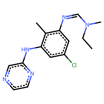 CCN(C)/C=N\c1cc(Cl)cc(Nc2cnccn2)c1C